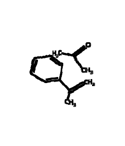 C=C(C)c1ccccc1.CC(C)=O